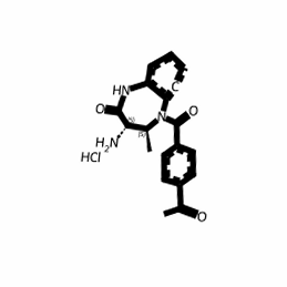 CC(=O)c1ccc(C(=O)N2c3ccccc3NC(=O)[C@@H](N)[C@@H]2C)cc1.Cl